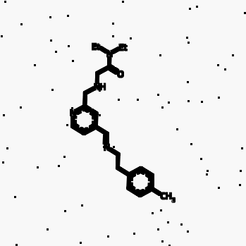 CCN(CC)C(=O)CNCc1cc(/C=N/CCc2ccc(C)cc2)ccn1